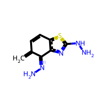 C=C1C=Cc2sc(NN)nc2/C1=N/N